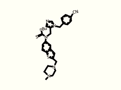 CCCCC(=S)N(Cc1cncn1Cc1ccc(C#N)cc1)c1ccc2sc(CN3CCN(C)CC3)cc2c1